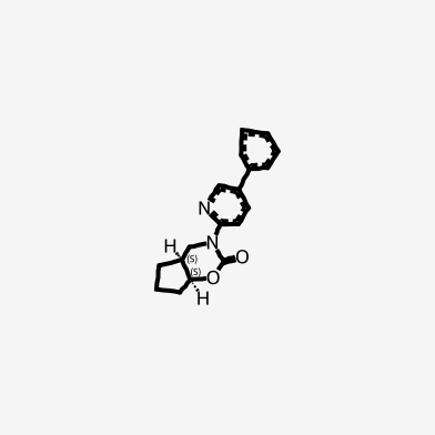 O=C1O[C@H]2CCC[C@H]2CN1c1ccc(-c2ccccc2)cn1